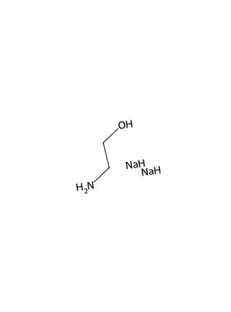 NCCO.[NaH].[NaH]